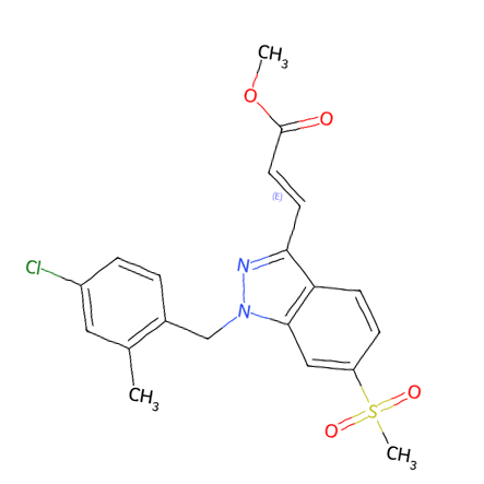 COC(=O)/C=C/c1nn(Cc2ccc(Cl)cc2C)c2cc(S(C)(=O)=O)ccc12